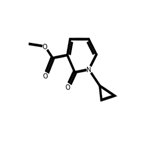 COC(=O)c1cccn(C2CC2)c1=O